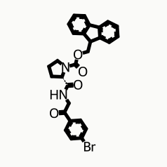 O=C(CNC(=O)[C@@H]1CCCN1C(=O)OCC1c2ccccc2-c2ccccc21)c1ccc(Br)cc1